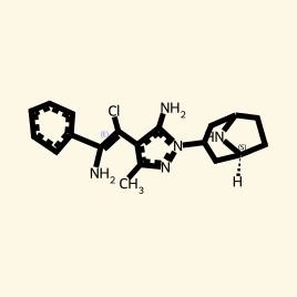 Cc1nn(C2CC3CC[C@@H](C2)N3)c(N)c1/C(Cl)=C(\N)c1ccccc1